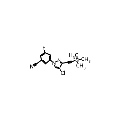 C[Si](C)(C)C#Cc1nn(-c2cc(F)cc(C#N)c2)cc1Cl